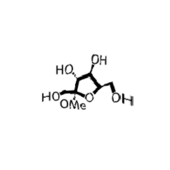 CO[C@@]1(CO)O[C@H](CO)[C@H](O)[C@H]1O